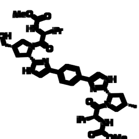 COC(=O)N[C@H](C(=O)N1C[C@@H](C)C[C@H]1c1nc(-c2ccc(-c3c[nH]c([C@@H]4C[C@H](CO)CN4C(=O)[C@@H](NC(=O)OC)C(C)C)n3)cc2)c[nH]1)C(C)C